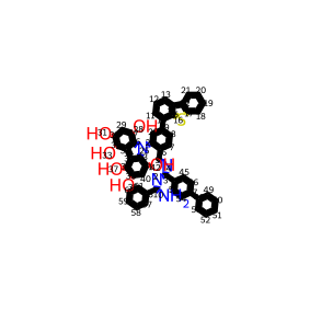 N/C(=N\C(=N/Cc1ccc(-c2cccc3c2sc2ccccc23)cc1-n1c2c(O)cc(O)c(O)c2c2c(O)c(O)cc(O)c21)c1ccc(-c2ccccc2)cc1)c1ccccc1